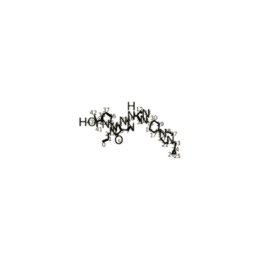 C=CCn1c(=O)c2cnc(Nc3cnn([C@H]4CC[C@H](N5CCN(CC6CC6)CC5)CC4)c3)nc2n1-c1cccc(C(C)(C)O)n1